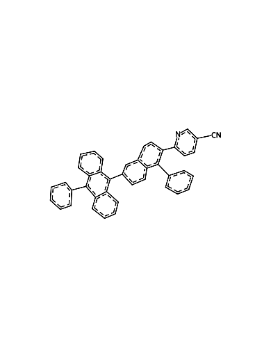 N#Cc1ccc(-c2ccc3cc(-c4c5ccccc5c(-c5ccccc5)c5ccccc45)ccc3c2-c2ccccc2)nc1